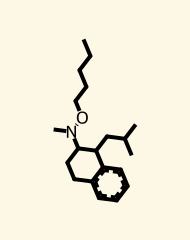 CCCCCON(C)C1CCc2ccccc2C1CC(C)C